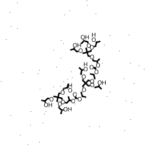 CC(O)COCC(COCC(C)O)(COCC(C)O)COCC(C)OC(=O)OC(C)COCC(COCC(C)O)(COCC(C)O)COCC(C)OC(=O)OC(C)COCC(COCC(C)O)(COCC(C)O)COCC(C)O